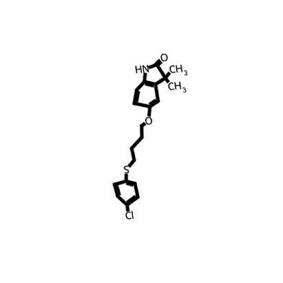 CC1(C)C(=O)Nc2ccc(OCCCCSc3ccc(Cl)cc3)cc21